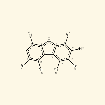 [2H]c1cc(Cl)c2oc3c([2H])c([2H])c(Br)c([2H])c3c2c1[2H]